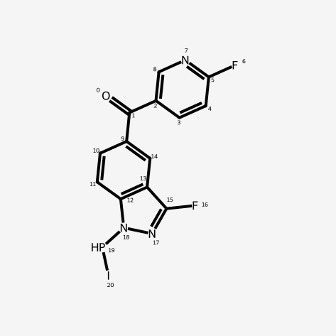 O=C(c1ccc(F)nc1)c1ccc2c(c1)c(F)nn2PI